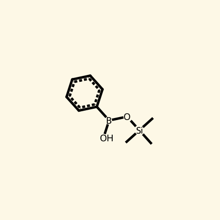 C[Si](C)(C)OB(O)c1ccccc1